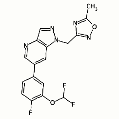 Cc1nc(Cn2ncc3ncc(-c4ccc(F)c(OC(F)F)c4)cc32)no1